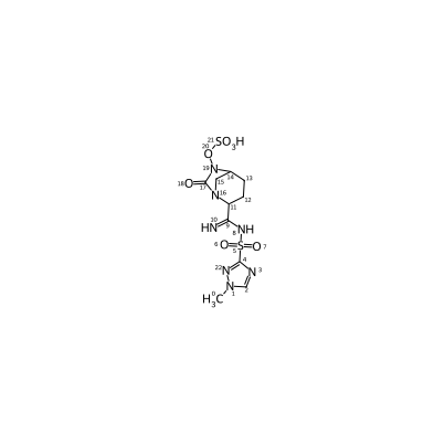 Cn1cnc(S(=O)(=O)NC(=N)C2CCC3CN2C(=O)N3OS(=O)(=O)O)n1